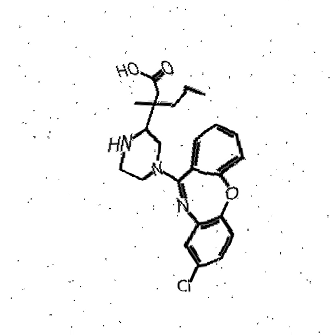 CCCC(C)(C(=O)O)C1CN(C2=Nc3cc(Cl)ccc3Oc3ccccc32)CCN1